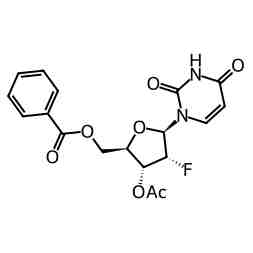 CC(=O)O[C@H]1[C@@H](F)[C@H](n2ccc(=O)[nH]c2=O)O[C@@H]1COC(=O)c1ccccc1